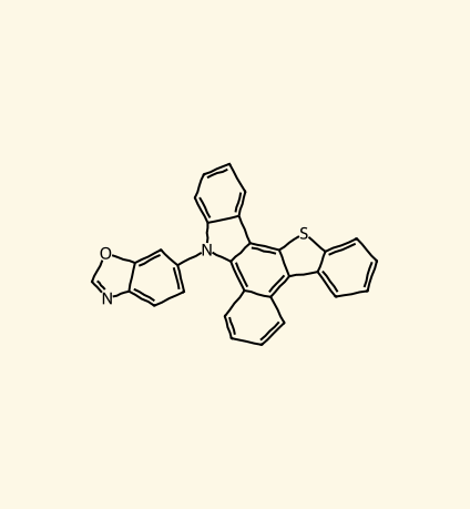 c1ccc2c(c1)sc1c2c2ccccc2c2c1c1ccccc1n2-c1ccc2ncoc2c1